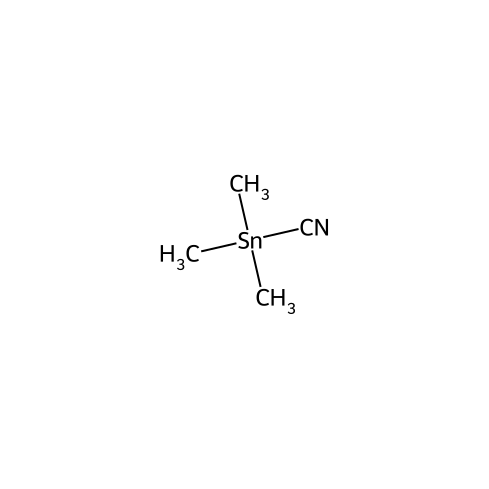 [CH3][Sn]([CH3])([CH3])[C]#N